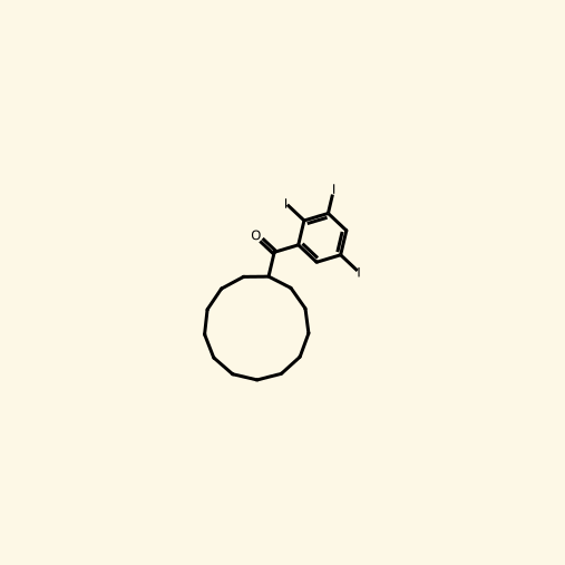 O=C(c1cc(I)cc(I)c1I)C1CCCCCCCCCCCC1